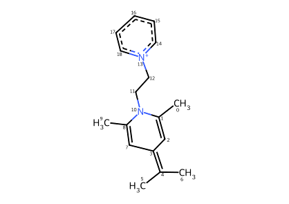 CC1=CC(=C(C)C)C=C(C)N1CC[n+]1ccccc1